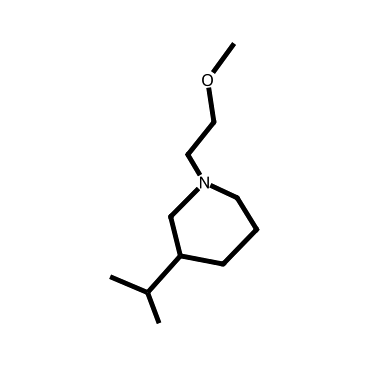 COCCN1CCCC(C(C)C)C1